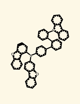 c1cc(N(c2ccc(-c3ccccc3-c3ccccc3-n3c4ccccc4c4ccccc43)cc2)c2ccc3c(c2)oc2ccccc23)c2c(c#1)oc1ccccc12